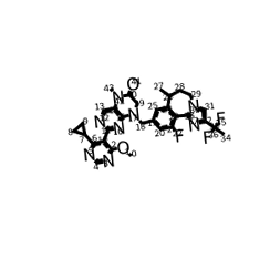 COc1ncnc(C2CC2)c1-c1ncc2c(n1)N(Cc1cc(F)c3c(c1)C(C)CCn1cc(C(C)(F)F)nc1-3)CC(=O)N2C